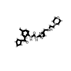 Cc1ccc(NC(=O)Nc2nc(CNCCN3CCOCC3)cs2)c(C(=O)C2CCCC2)c1